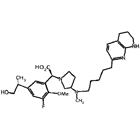 COc1c(F)cc([C@@H](C)CO)cc1[C@@H](C(=O)O)N1CC[C@@H](N(C)CCCCCc2ccc3c(n2)NCCC3)C1